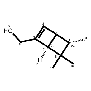 C[C@H]1C2C=C(CO)[C@@H]2C1(C)C